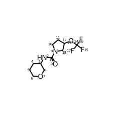 O=C(NC1CCCOC1)N1CCC(OC(F)(F)F)C1